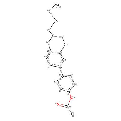 CCCCC1CCc2cc(-c3ccc(OC(C)=O)cc3)ccc2C1